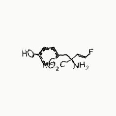 N[C@@](/C=C/F)(Cc1ccc(O)cc1)C(=O)O